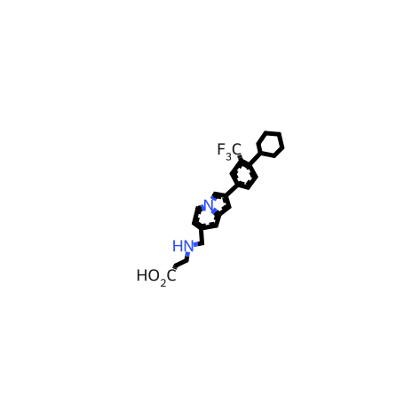 O=C(O)CCNCc1ccn2cc(-c3ccc(C4CCCCC4)c(C(F)(F)F)c3)cc2c1